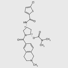 CN1CCc2cc(C(=O)N3C[C@H](NC(=O)c4ccc(Cl)s4)C[C@@H]3OC(=O)N(C)C)ccc2C1